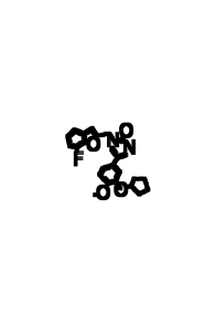 COc1ccc(-c2cnc(=O)n(Cc3cc4cccc(F)c4o3)c2)cc1OC1CCCC1